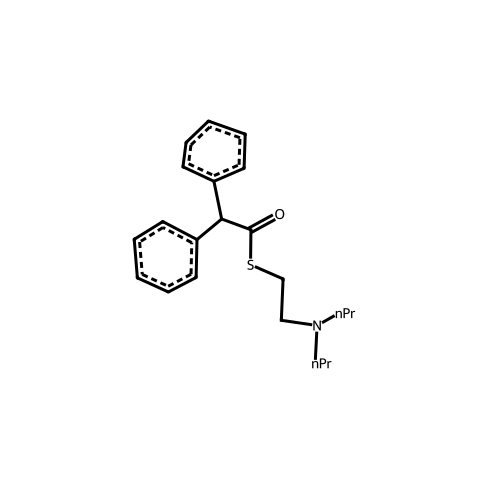 CCCN(CCC)CCSC(=O)C(c1ccccc1)c1ccccc1